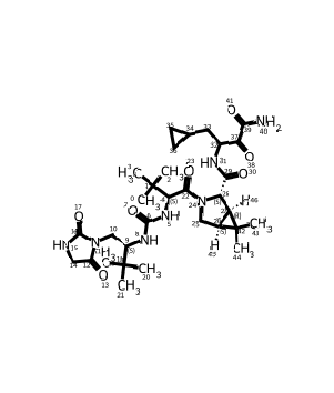 CC(C)(C)[C@H](NC(=O)N[C@H](CN1C(=O)CNC1=O)C(C)(C)C)C(=O)N1C[C@H]2[C@@H]([C@H]1C(=O)NC(CC1CC1)C(=O)C(N)=O)C2(C)C